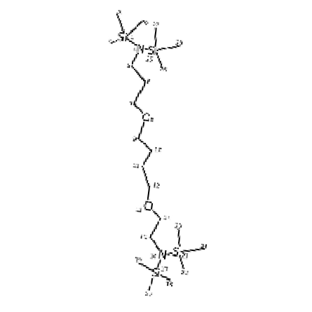 C[Si](C)(C)N(CCCOCCCCOCCN([Si](C)(C)C)[Si](C)(C)C)[Si](C)(C)C